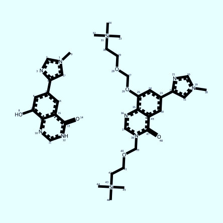 Cn1cnc(-c2cc(O)c3nc[nH]c(=O)c3c2)c1.Cn1cnc(-c2cc(OCOCC[Si](C)(C)C)c3ncn(COCC[Si](C)(C)C)c(=O)c3c2)c1